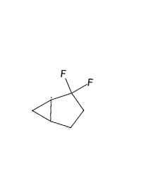 FC1(F)CCC2C[C]21